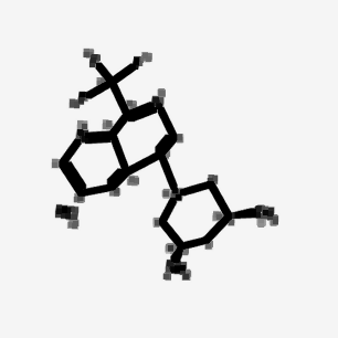 C[C@H]1C[C@@H](N)CN(c2cnc(C(F)(F)F)c3ncccc23)C1.Cl